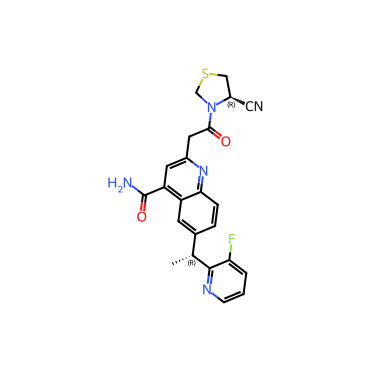 C[C@H](c1ccc2nc(CC(=O)N3CSC[C@H]3C#N)cc(C(N)=O)c2c1)c1ncccc1F